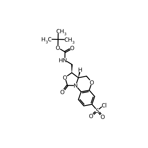 CC(C)(C)OC(=O)NC[C@@H]1OC(=O)N2c3ccc(S(=O)(=O)Cl)cc3OC[C@@H]12